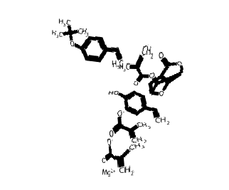 C=C(C)C(=O)OC1C2CC3C(=O)OC1C3O2.C=C(C)C(=O)[O-].C=C(C)C(=O)[O-].C=Cc1ccc(O)cc1.C=Cc1ccc(OC(C)(C)C)cc1.[Mg+2]